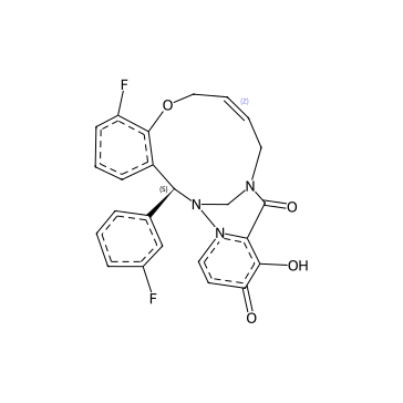 O=C1c2c(O)c(=O)ccn2N2CN1C/C=C\COc1c(F)cccc1[C@@H]2c1cccc(F)c1